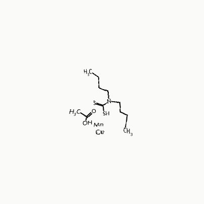 CC(=O)O.CCCCN(CCCC)C(=S)S.[Cu].[Mn]